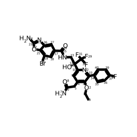 CCOc1c(CC(N)=O)cc([C@@](O)(CNC(=O)c2cc(Br)c3oc(N)nc3c2)C(F)(F)F)nc1-c1ccc(F)cc1